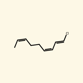 C/C=C\CC/C=C\C=C\Cl